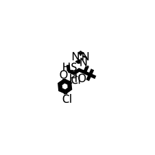 CC(CCC(O)(Cn1ncnc1S)C(C)(C)C)Oc1ccc(Cl)cc1Cl